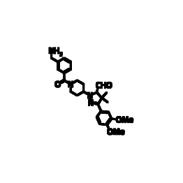 COc1ccc(C2=NN(C3CCN(C(=O)c4cccc(CN)c4)CC3)C(C=O)C2(C)C)cc1OC